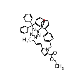 CCC=Cc1ccc(C(=O)OCC)n1Cc1ccc(-c2ccccc2-c2nnnn2C(c2ccccc2)(c2ccccc2)c2ccccc2)cc1